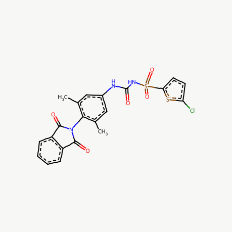 Cc1cc(NC(=O)NS(=O)(=O)c2ccc(Cl)s2)cc(C)c1N1C(=O)c2ccccc2C1=O